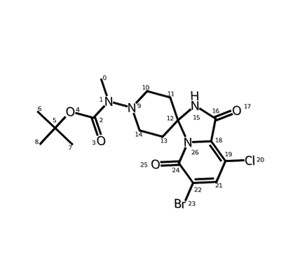 CN(C(=O)OC(C)(C)C)N1CCC2(CC1)NC(=O)c1c(Cl)cc(Br)c(=O)n12